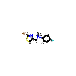 CC(=O)N(Cc1csc(Br)n1)c1ccc(F)cc1